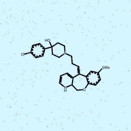 CSc1ccc2c(c1)/C(=C/CCN1CCC(O)(c3ccc(Cl)cc3)CC1)C1=CC=CNC1CO2